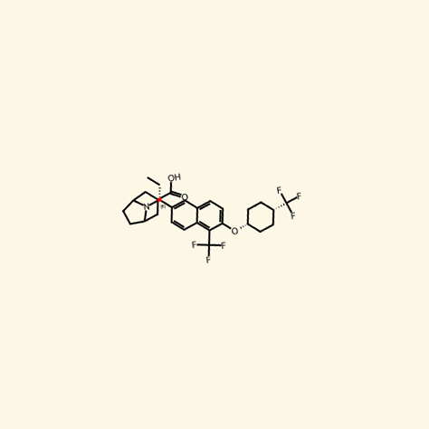 CC[C@H](c1ccc2c(C(F)(F)F)c(O[C@H]3CC[C@@H](C(F)(F)F)CC3)ccc2c1)N1C2CCC1CC(C(=O)O)C2